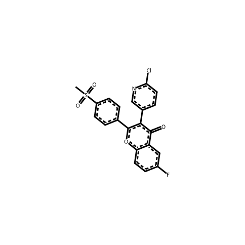 CS(=O)(=O)c1ccc(-c2oc3ccc(F)cc3c(=O)c2-c2ccc(Cl)nc2)cc1